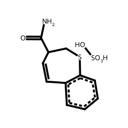 NC(=O)C1C=Cc2ccccc2SC1.O=S(=O)(O)O